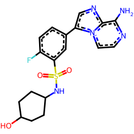 Nc1nccn2c(-c3ccc(F)c(S(=O)(=O)NC4CCC(O)CC4)c3)cnc12